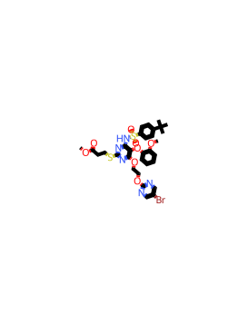 COC(=O)CCSc1nc(NS(=O)(=O)c2ccc(C(C)(C)C)cc2)c(Oc2ccccc2OC)c(OCCOc2ncc(Br)cn2)n1